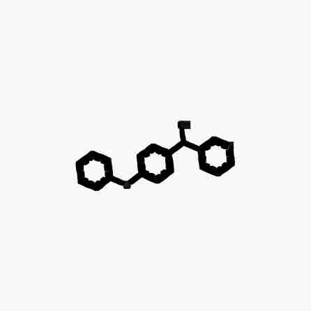 OC(c1ccc(Oc2ccccc2)cc1)c1cccnc1